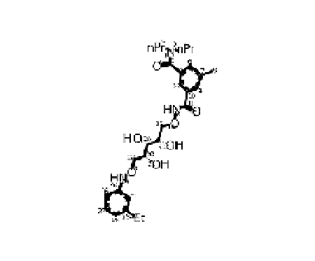 CCCN(CCC)C(=O)c1cc(C)cc(C(=O)NOC[C@H](O)[C@@H](O)[C@H](O)CONc2cccc(CC)c2)c1